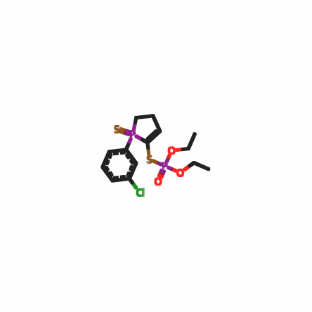 CCOP(=O)(OCC)SC1=CCCP1(=S)c1cccc(Cl)c1